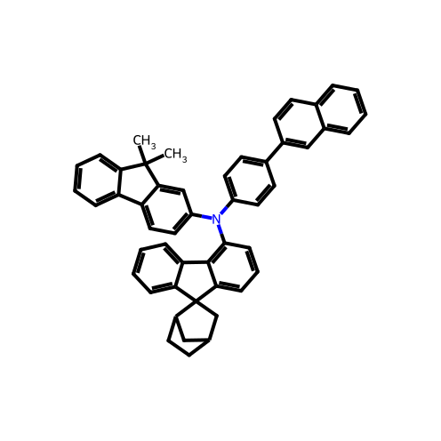 CC1(C)c2ccccc2-c2ccc(N(c3ccc(-c4ccc5ccccc5c4)cc3)c3cccc4c3-c3ccccc3C43CC4CCC3C4)cc21